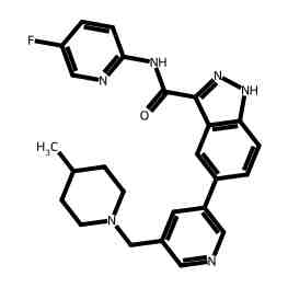 CC1CCN(Cc2cncc(-c3ccc4[nH]nc(C(=O)Nc5ccc(F)cn5)c4c3)c2)CC1